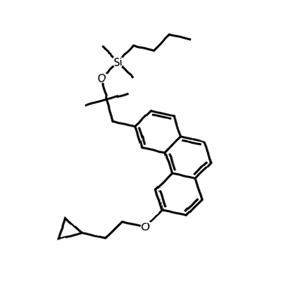 CCCC[Si](C)(C)OC(C)(C)Cc1ccc2ccc3ccc(OCCC4CC4)cc3c2c1